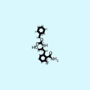 NC(=O)c1c(F)cccc1CC(CO)NC(=O)OCc1ccccc1